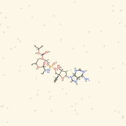 C#C[C@]1(COP(=O)(N[C@@H](C)C(=O)OC(C)C)OCOC(=O)OC(C)C)O[C@@H](n2cnc3c(N)ncnc32)C[C@@H]1O